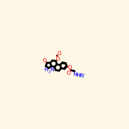 [N-]=[N+]=NCC(=O)OC1=CC2CC[C@@]3(N)C4CCC(=O)C4C[C@@H](OC=O)C3C2C=C1